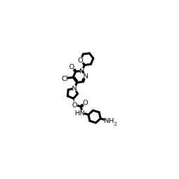 NC1CCC(NC(=O)O[C@@H]2CCN(c3cnn(C4CCCCO4)c(=O)c3Cl)C2)CC1